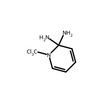 NC1(N)C=CC=CN1C(Cl)(Cl)Cl